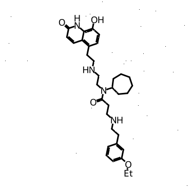 CCOc1cccc(CCNCCC(=O)N(CCNCCc2ccc(O)c3[nH]c(=O)ccc23)C2CCCCCC2)c1